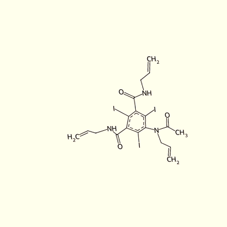 C=CCNC(=O)c1c(I)c(C(=O)NCC=C)c(I)c(N(CC=C)C(C)=O)c1I